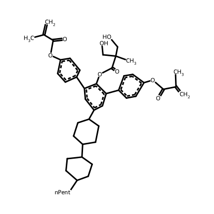 C=C(C)C(=O)Oc1ccc(-c2cc(C3CCC(C4CCC(CCCCC)CC4)CC3)cc(-c3ccc(OC(=O)C(=C)C)cc3)c2OC(=O)C(C)(CO)CO)cc1